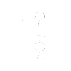 CC(=O)Nc1ccc(S(=O)(=O)CCc2c(Cl)cccc2C(=O)O)nc1